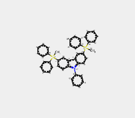 CS(c1ccccc1)(c1ccccc1)c1ccc2c(c1)c1cc(S(C)(c3ccccc3)c3ccccc3)ccc1n2-c1ccccc1